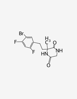 CC1(CCc2cc(Br)c(F)cc2F)NC(=O)CNC1=O